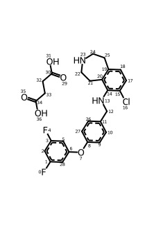 Fc1cc(F)cc(Oc2ccc(CNc3c(Cl)ccc4c3CCNCC4)cc2)c1.O=C(O)CCC(=O)O